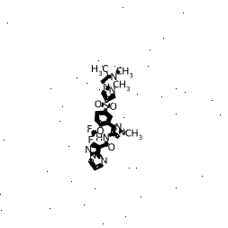 C[C@@H](Cn1cc(S(=O)(=O)c2ccc(OC(F)F)c(-c3nn(C)cc3NC(=O)c3cnn4cccnc34)c2)cn1)N(C)C